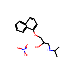 CC(C)NCC(O)COc1cccc2ccccc12.O=[N+]([O-])O